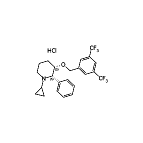 Cl.FC(F)(F)c1cc(CO[C@H]2CCCN(C3CC3)[C@H]2c2ccccc2)cc(C(F)(F)F)c1